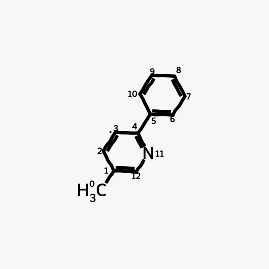 Cc1c[c]c(-c2ccccc2)nc1